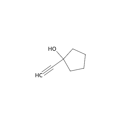 C#CC1(O)CCCC1